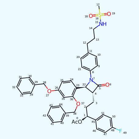 CC(=O)O[C@@H](CC[C@H]1C(=O)N(c2ccc(CCCNS(C)(=O)=O)cc2)[C@@H]1c1ccc(OCc2ccccc2)cc1OCc1ccccc1)c1ccc(F)cc1